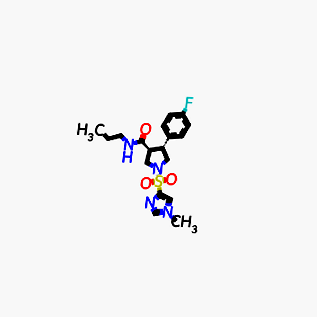 CCCNC(=O)[C@@H]1CN(S(=O)(=O)c2cn(C)cn2)C[C@H]1c1ccc(F)cc1